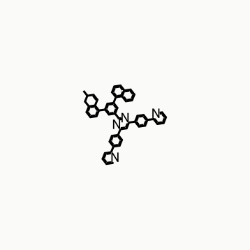 CC1C=Cc2c(cccc2-c2cc(-c3nc(-c4ccc(-c5ccccn5)cc4)cc(-c4ccc(-c5ccccn5)cc4)n3)cc(-c3cccc4ccccc34)c2)C1